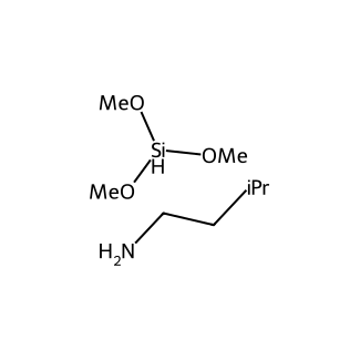 CC(C)CCN.CO[SiH](OC)OC